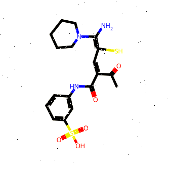 CC(=O)/C(=C\C(S)=C(\N)N1CCCCC1)C(=O)Nc1cccc(S(=O)(=O)O)c1